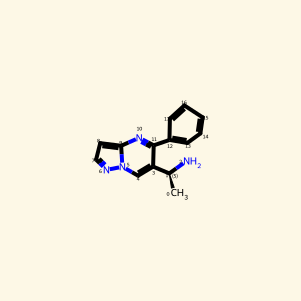 C[C@H](N)c1cn2nccc2nc1-c1ccccc1